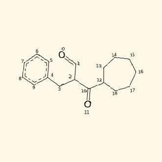 O=CC(Cc1ccccc1)C(=O)C1CCCCCC1